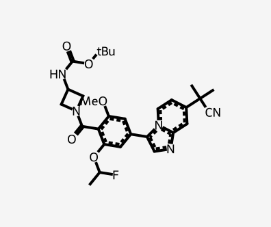 COc1cc(-c2cnc3cc(C(C)(C)C#N)ccn23)cc(OC(C)F)c1C(=O)N1CC(NC(=O)OC(C)(C)C)C1